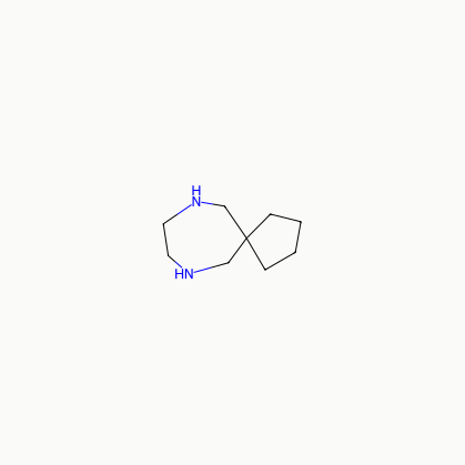 C1CCC2(C1)CNCCNC2